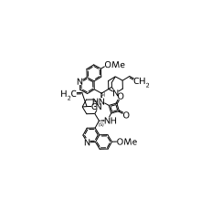 C=CC1CN2CCC1CC2[C@@H](Nc1c(N[C@@H](c2ccnc3ccc(OC)cc23)C2CC3CCN2CC3C=C)c(=O)c1=O)c1ccnc2ccc(OC)cc12